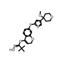 COC1(c2csc(Sc3ccc4c(c3)OCC=C4O/C(=N/O)C(C)(C)C)c2)CCOCC1